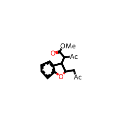 COC(=O)C(C(C)=O)C1c2ccccc2OC1CC(C)=O